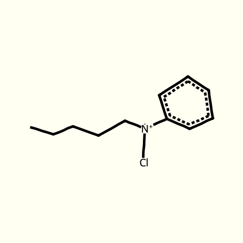 CCCCC[N+](Cl)c1ccccc1